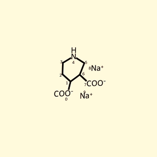 O=C([O-])C1CCNCC1C(=O)[O-].[Na+].[Na+]